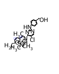 C=C/C=C\C(=C(/C)Nc1nc(Nc2ccc(CO)cc2)ncc1Cl)S(=O)(=O)N(C)C